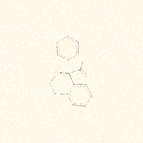 O=C(Cl)[C@]1(c2ccccc2)NCCc2ccccc21